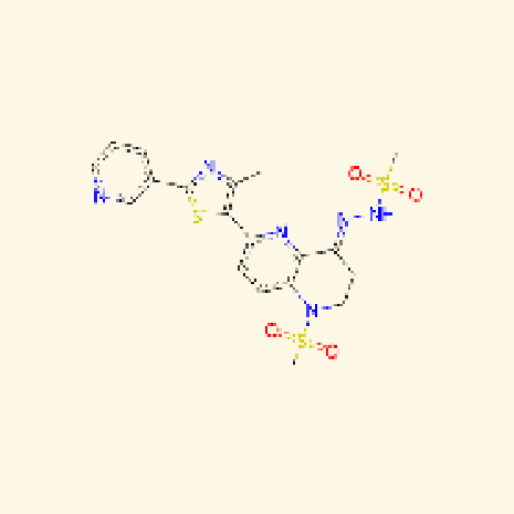 Cc1nc(-c2cccnc2)sc1-c1ccc2c(n1)/C(=N/NS(C)(=O)=O)CCN2S(C)(=O)=O